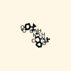 CC(C)(C)[S@@+]([O-])N[C@H](c1cnc(NC(=O)C2(c3ccc4c(c3)OCO4)CC2)s1)c1ccccc1Cl